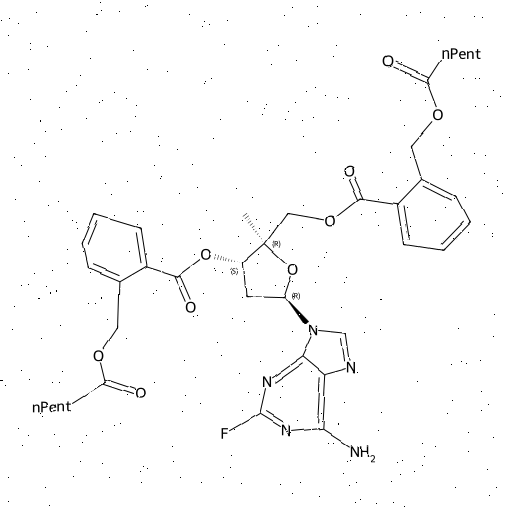 CCCCCC(=O)OCc1ccccc1C(=O)OC[C@@]1(C)O[C@@H](n2cnc3c(N)nc(F)nc32)C[C@@H]1OC(=O)c1ccccc1COC(=O)CCCCC